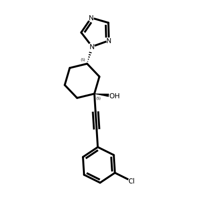 O[C@@]1(C#Cc2cccc(Cl)c2)CCC[C@H](n2cncn2)C1